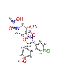 COC(=O)C1(c2nc(-c3ccc(Cl)cc3)c(-c3ccc(OC)cc3)o2)CCN(C(=O)N(C)O)CC1